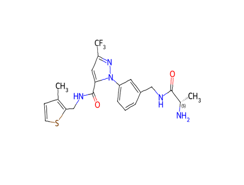 Cc1ccsc1CNC(=O)c1cc(C(F)(F)F)nn1-c1cccc(CNC(=O)[C@H](C)N)c1